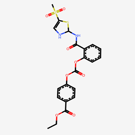 CCOC(=O)c1ccc(OC(=O)Oc2ccccc2C(=O)NC2NC=C(S(C)(=O)=O)S2)cc1